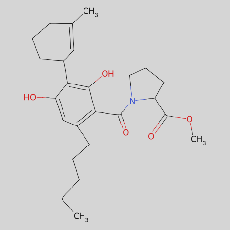 CCCCCc1cc(O)c(C2C=C(C)CCC2)c(O)c1C(=O)N1CCCC1C(=O)OC